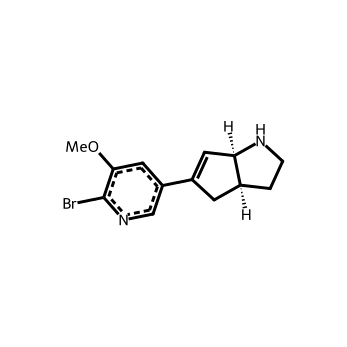 COc1cc(C2=C[C@H]3NCC[C@H]3C2)cnc1Br